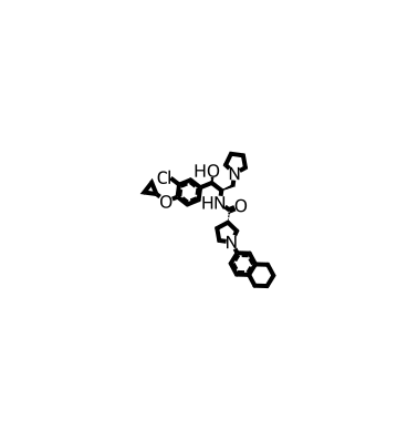 O=C(N[C@H](CN1CCCC1)[C@H](O)c1ccc(OC2CC2)c(Cl)c1)[C@H]1CCN(c2ccc3c(c2)CCCC3)C1